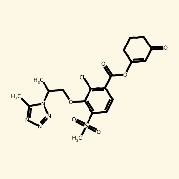 Cc1nnnn1C(C)COc1c(S(C)(=O)=O)ccc(C(=O)OC2=CC(=O)CCC2)c1Cl